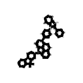 CC1(C)c2ccccc2-c2ccc(-n3c4cccc5ccc6c(-c7ccc(-n8c(-c9ccccc9)nc9ccccc98)cc7)ccc3c6c54)cc21